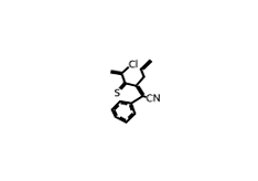 C=CCC(C(=S)C(=C)Cl)=C(C#N)c1ccccc1